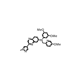 COc1ccc(CN(c2cc(OC)cc(OC)c2)c2ccc3ncc(-c4cnn(C)c4)nc3c2)nc1